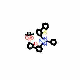 CC1(C)OB(c2cccc3c2oc2c(-c4nc(-c5ccccc5)nc(-c5cccc6c5sc5ccccc56)n4)cccc23)OC1(C)C